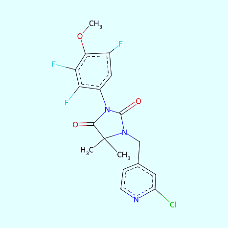 COc1c(F)cc(N2C(=O)N(Cc3ccnc(Cl)c3)C(C)(C)C2=O)c(F)c1F